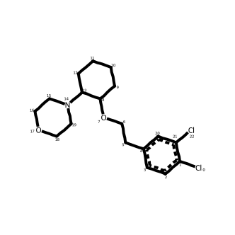 Clc1ccc(CCOC2CCCCC2N2CCOCC2)cc1Cl